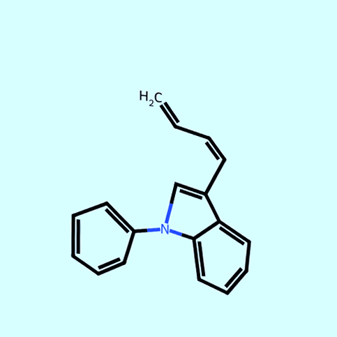 C=C/C=C\c1cn(-c2ccccc2)c2ccccc12